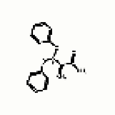 C=C(C(N)=O)[SiH](Oc1ccccc1)Oc1ccccc1